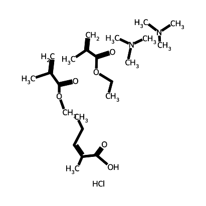 C=C(C)C(=O)OC.C=C(C)C(=O)OCC.CCC=C(C)C(=O)O.CN(C)C.CN(C)C.Cl